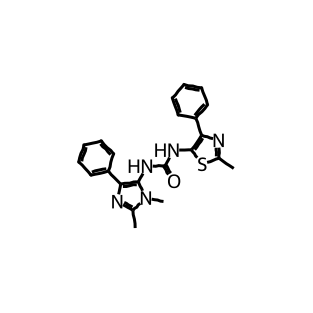 Cc1nc(-c2ccccc2)c(NC(=O)Nc2c(-c3ccccc3)nc(C)n2C)s1